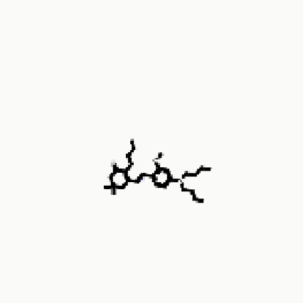 CCCCC1=C(/C=C/c2ccc(N(CCCC)CCCC)cc2OC)CC(C)(C)CC1=O